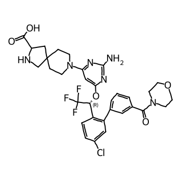 Nc1nc(O[C@H](c2ccc(Cl)cc2-c2cccc(C(=O)N3CCOCC3)c2)C(F)(F)F)cc(N2CCC3(CC2)CNC(C(=O)O)C3)n1